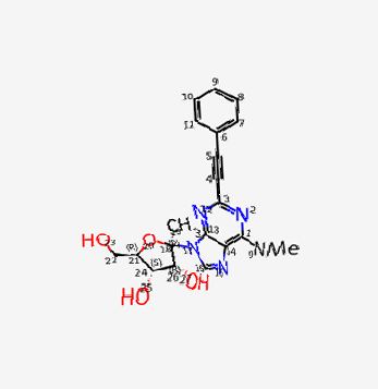 CNc1nc(C#Cc2ccccc2)nc2c1ncn2[C@]1(C)O[C@H](CO)[C@@H](O)[C@H]1O